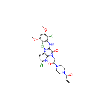 C=CC(=O)N1CCN(C(=O)Cn2c(=O)c(Nc3c(Cl)c(OC)cc(OC)c3Cl)nc3ccc(Cl)nc32)CC1